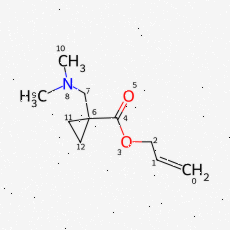 C=CCOC(=O)C1(CN(C)C)CC1